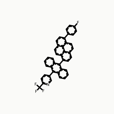 Fc1ccc(-c2ccc3ccc4c(-c5c6ccccc6c(-c6ccc(C(F)(F)F)nc6)c6ccccc56)ccc5ccc2c3c54)cc1